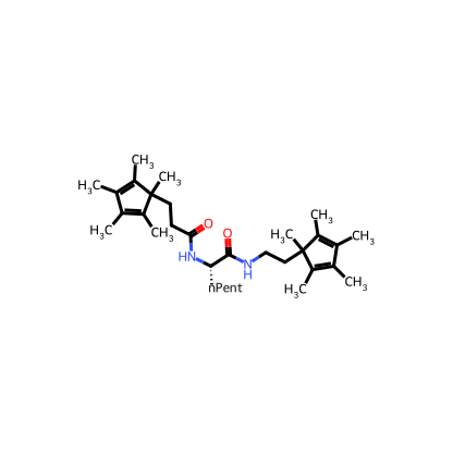 CCCCC[C@H](NC(=O)CCC1(C)C(C)=C(C)C(C)=C1C)C(=O)NCCC1(C)C(C)=C(C)C(C)=C1C